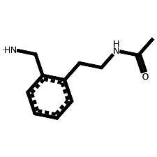 CC(=O)NCCc1ccccc1C[NH]